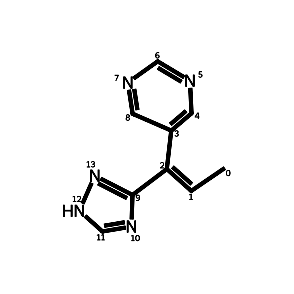 C/C=C(\c1cncnc1)c1nc[nH]n1